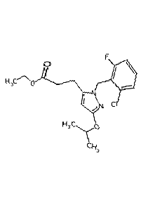 CCOC(=O)CCc1cc(OC(C)C)nn1Cc1c(F)cccc1Cl